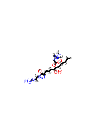 CCCCCC(OC(=O)C[N+](C)(C)C)C(O)C/C=C/CC(=O)NCCN